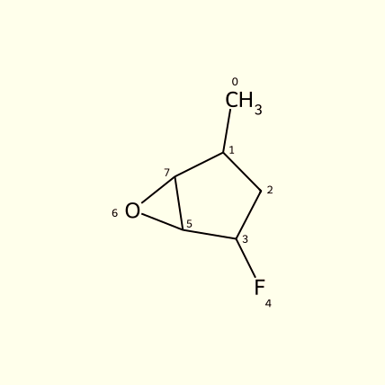 CC1CC(F)C2OC12